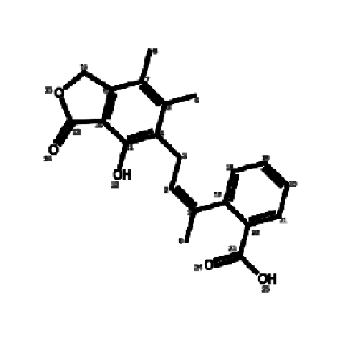 C/C(=C/Cc1c(C)c(C)c2c(c1O)C(=O)OC2)c1ccccc1C(=O)O